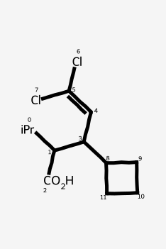 CC(C)C(C(=O)O)C(C=C(Cl)Cl)C1CCC1